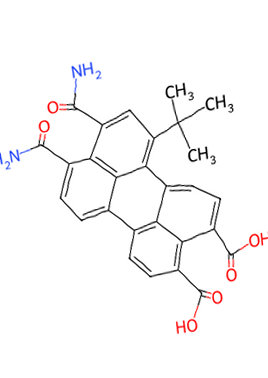 CC(C)(C)c1cc(C(N)=O)c2c(C(N)=O)ccc3c4ccc(C(=O)O)c5c(C(=O)O)ccc(c1c23)c54